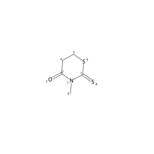 CN1C(=O)CCSC1=S